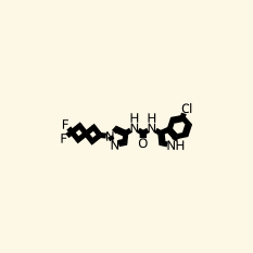 O=C(Nc1cnn(C2CC3(C2)CC(F)(F)C3)c1)Nc1c[nH]c2ccc(Cl)cc12